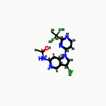 CC(=O)Nc1cc2c(cn1)c(Br)cn2-c1ccnc(C(C)(F)F)n1